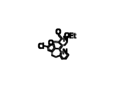 CCON1CCC(=C2c3ccc(Cl)cc3CCc3cccnc32)C(=C=O)C1=C=O